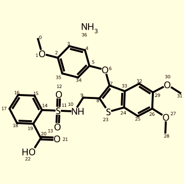 COc1ccc(Oc2c(CNS(=O)(=O)c3ccccc3C(=O)O)sc3cc(OC)c(OC)cc23)cc1.N